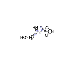 C=C1/C=C(O[C@H](C)c2c(Cl)cncc2Cl)\C=C/CN/N=C1/C=C/c1cnn(CCO)c1